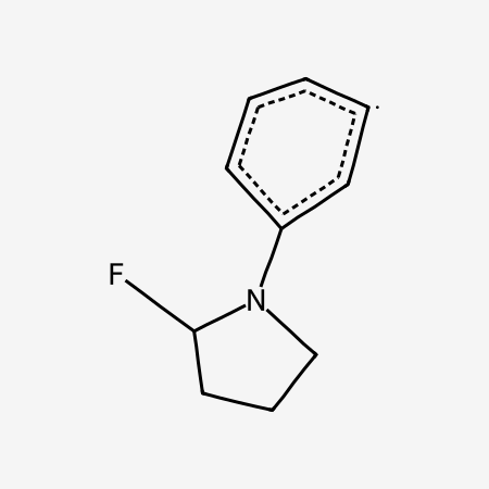 FC1CCCN1c1c[c]ccc1